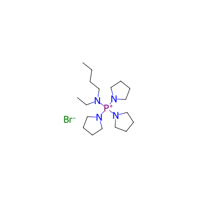 CCCCN(CC)[P+](N1CCCC1)(N1CCCC1)N1CCCC1.[Br-]